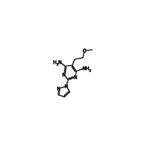 COCCc1c(N)nc(-n2cccn2)nc1N